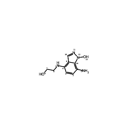 Nc1ccc(NCCO)c2cnn(O)c12